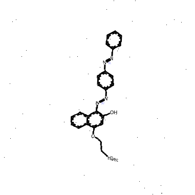 CCCCCCCCCCCCOc1cc(O)c(/N=N/c2ccc(/N=N/c3ccccc3)cc2)c2ccccc12